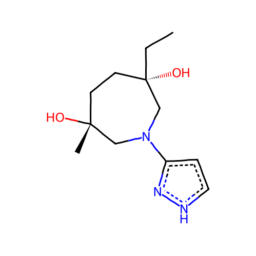 CC[C@]1(O)CC[C@@](C)(O)CN(c2cc[nH]n2)C1